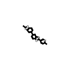 Cc1ccc(-c2nc3cc(-c4ccc5oc(C)nc5c4)ccc3o2)cn1